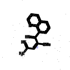 CO/C(=C/C(=N)C(F)(F)F)C(=N)c1cccc2cccnc12